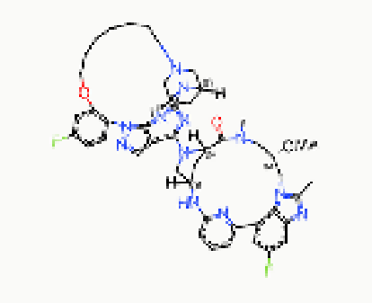 CO[C@H]1CN(C)C(=O)[C@@H]2C[C@@H](CN2c2nc3nc4c2cnn4-c2ccc(F)cc2OCCCCCCN2C[C@H]4C[C@@H](C2)N34)Nc2cccc(n2)-c2cc(F)cc3nc(C)n(c23)C1